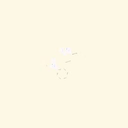 C=C(N)/C(C)=C/c1ccccc1NC=O